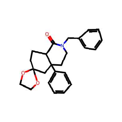 O=C1C2CCC3(CC2(c2ccccc2)CCN1Cc1ccccc1)OCCO3